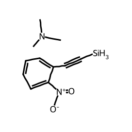 CN(C)C.O=[N+]([O-])c1ccccc1C#C[SiH3]